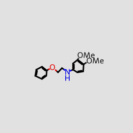 COc1ccc(NCCOc2ccccc2)cc1OC